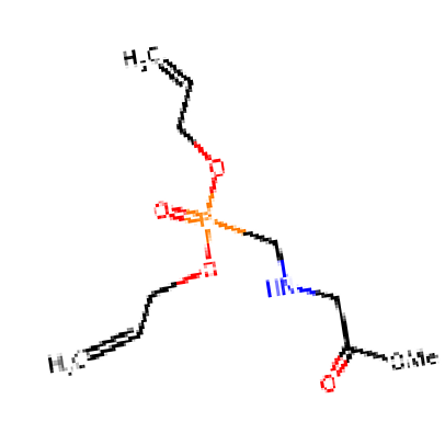 C=CCOP(=O)(CNCC(=O)OC)OCC=C